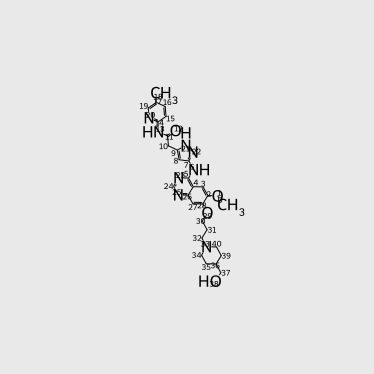 COc1cc2c(Nc3cc(CC(=O)Nc4ccc(C)cn4)[nH]n3)ncnc2cc1OCCCN1CCC(CO)CC1